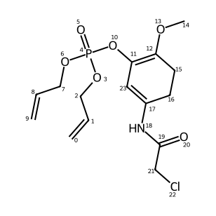 C=CCOP(=O)(OCC=C)OC1=C(OC)CCC(NC(=O)CCl)=C1